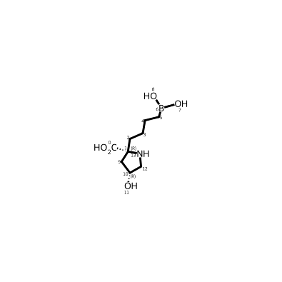 O=C(O)[C@@]1(CCCCB(O)O)C[C@@H](O)CN1